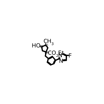 CCOC(=O)[C@@]1(Cc2cccc(-c3ncc(F)cn3)c2)C[C@@H](C)[C@H](O)C1